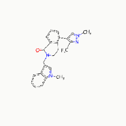 Cn1cc(-c2cccc3c2CCN(Cc2cn(C)c4ccccc24)C3=O)c(C(F)(F)F)n1